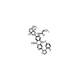 C=CC(=O)Nc1cc(Nc2cc(N3OCC[C@@H]3c3cc(F)ccc3F)ncn2)c(OC)cc1N1C[C@@H]2CCN(C)[C@@H]2C1